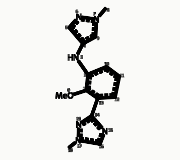 COc1c(Nc2cnn(C)c2)cccc1-c1ncn(C)n1